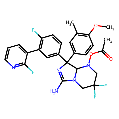 COc1ccc(C2(c3ccc(F)c(-c4cccnc4F)c3)N=C(N)N3CC(F)(F)CN(OC(C)=O)C32)cc1C